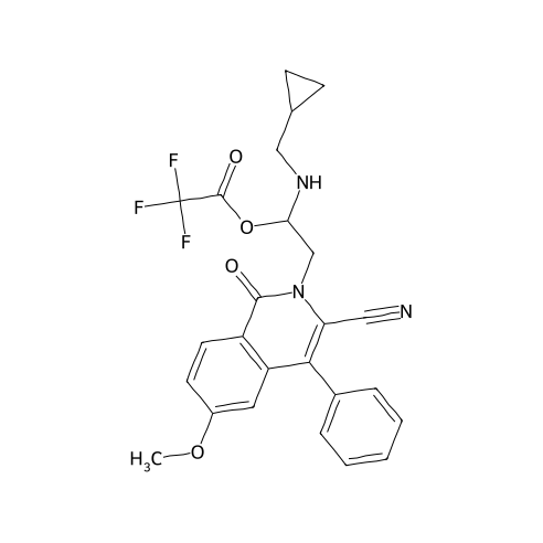 COc1ccc2c(=O)n(CC(NCC3CC3)OC(=O)C(F)(F)F)c(C#N)c(-c3ccccc3)c2c1